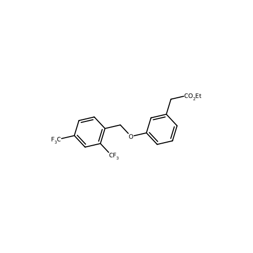 CCOC(=O)Cc1cccc(OCc2ccc(C(F)(F)F)cc2C(F)(F)F)c1